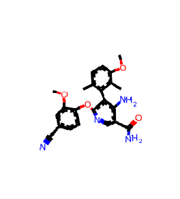 COc1cc(C#N)ccc1Oc1ncc(C(N)=O)c(N)c1-c1c(C)ccc(OC)c1C